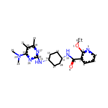 CCOc1ncccc1C(=O)N[C@H]1CC[C@@H](Nc2nc(C)c(C)c(N(C)C)n2)CC1